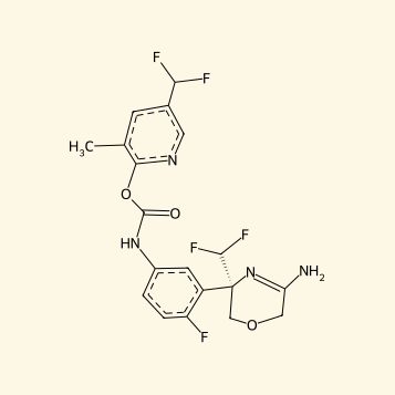 Cc1cc(C(F)F)cnc1OC(=O)Nc1ccc(F)c([C@]2(C(F)F)COCC(N)=N2)c1